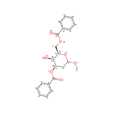 COC1C[C@@H](OC(=O)c2ccccc2)[C@@H](O)[C@@H](COC(=O)c2ccccc2)O1